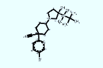 CC(C)(C)[Si](C)(C)C1(O)CCN(C2CCC(C#N)(c3ccc(Br)cn3)CC2)C1